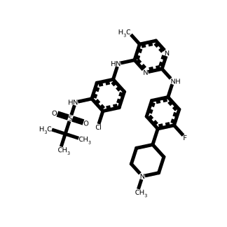 Cc1cnc(Nc2ccc(C3CCN(C)CC3)c(F)c2)nc1Nc1ccc(Cl)c(NS(=O)(=O)C(C)(C)C)c1